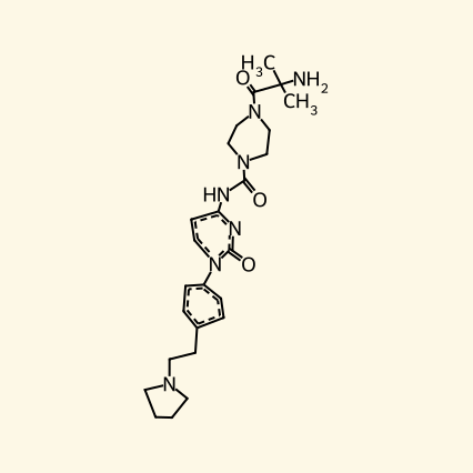 CC(C)(N)C(=O)N1CCN(C(=O)Nc2ccn(-c3ccc(CCN4CCCC4)cc3)c(=O)n2)CC1